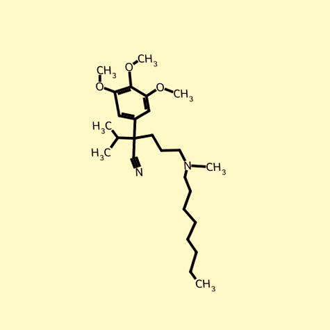 CCCCCCCCN(C)CCCC(C#N)(c1cc(OC)c(OC)c(OC)c1)C(C)C